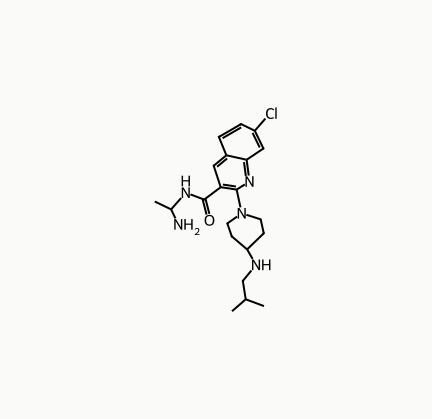 CC(C)CNC1CCN(c2nc3cc(Cl)ccc3cc2C(=O)NC(C)N)CC1